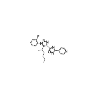 CCCCC(C)c1c(-c2nc(-c3ccncc3)no2)nnn1-c1ccccc1F